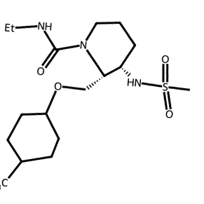 CCNC(=O)N1CCC[C@H](NS(C)(=O)=O)[C@@H]1COC1CCC(C(F)(F)F)CC1